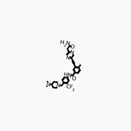 Cc1ccc(C(=O)Nc2ccc(CN3CCC(N(C)C)CC3)c(C(F)(F)F)c2)cc1C#Cc1cnc(CC(N)=O)cn1